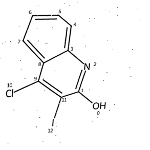 Oc1nc2ccccc2c(Cl)c1I